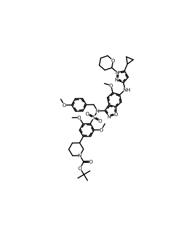 COc1ccc(CN(c2noc3cc(Nc4cc(C5CC5)n(C5CCCCO5)n4)c(OC)cc23)S(=O)(=O)c2c(OC)cc(C3CCCN(C(=O)OC(C)(C)C)C3)cc2OC)cc1